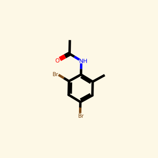 CC(=O)Nc1c(C)cc(Br)cc1Br